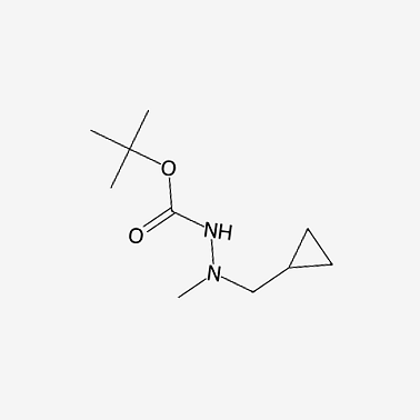 CN(CC1CC1)NC(=O)OC(C)(C)C